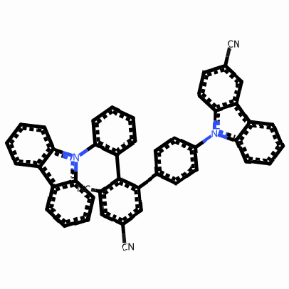 N#Cc1cc(C#N)c(-c2ccccc2-n2c3ccccc3c3ccccc32)c(-c2ccc(-n3c4ccccc4c4cc(C#N)ccc43)cc2)c1